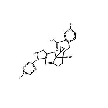 NC(=O)c1cc(F)ccc1CC[C@]1(O)CCC2=CC3=C(CNN3c3ccc(F)cc3)CC21C1CC1